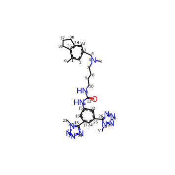 Cc1cc(CN(C)CCCCNC(=O)Nc2cc(-c3nnnn3C)cc(-c3nnnn3C)c2)cc2c1CCC2